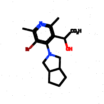 Cc1nc(C)c(C(O)C(=O)O)c(N2CC3CCCC3C2)c1Br